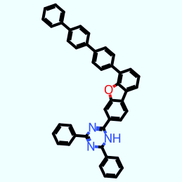 c1ccc(C2=NC(c3ccccc3)NC(c3ccc4c(c3)oc3c(-c5ccc(-c6ccc(-c7ccccc7)cc6)cc5)cccc34)=N2)cc1